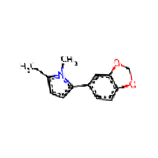 Cc1ccc(-c2ccc3c(c2)OCO3)n1C